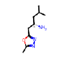 Cc1nnc(C[C@@H](N)CC(C)C)o1